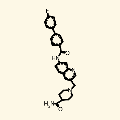 NC(=O)C1CCN(Cc2cnc3cc(NC(=O)c4ccc(-c5ccc(F)cc5)cc4)ccc3c2)CC1